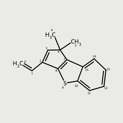 C=CC1=CC(C)(C)c2c1sc1ccccc21